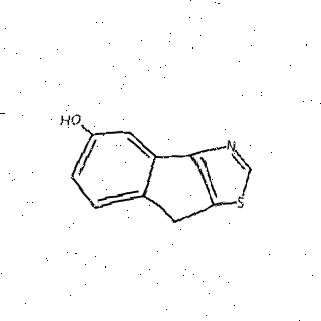 Oc1ccc2c(c1)-c1ncsc1C2